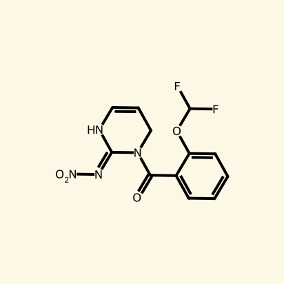 O=C(c1ccccc1OC(F)F)N1CC=CNC1=N[N+](=O)[O-]